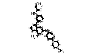 C=CC(=O)Nc1ccnc(-c2nccc3c(N)nc(Nc4ccc(N5CCN(C)CC5)nc4)nc23)c1